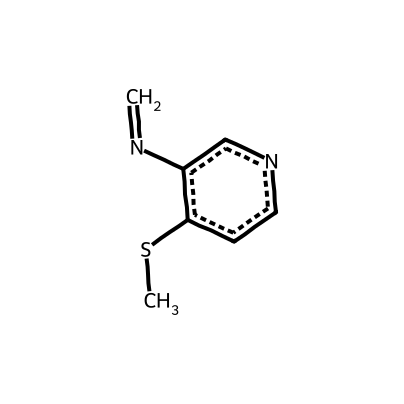 C=Nc1cnccc1SC